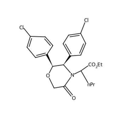 CCCC(C(=O)OCC)N1C(=O)CO[C@@H](c2ccc(Cl)cc2)[C@H]1c1ccc(Cl)cc1